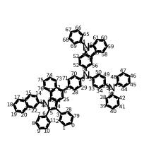 c1ccc(-c2c(-c3ccccc3)n(-c3ccc4ccccc4c3)c3c2cc(-c2ccc(N(c4ccc(N(c5ccccc5)c5ccccc5)cc4)c4ccc5c(c4)c4ccccc4n5-c4ccccc4)cc2)c2ccccc23)cc1